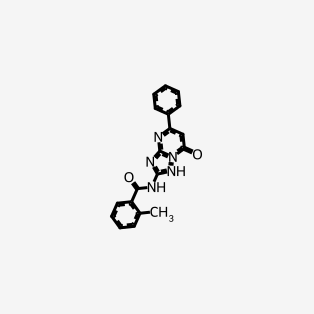 Cc1ccccc1C(=O)Nc1nc2nc(-c3ccccc3)cc(=O)n2[nH]1